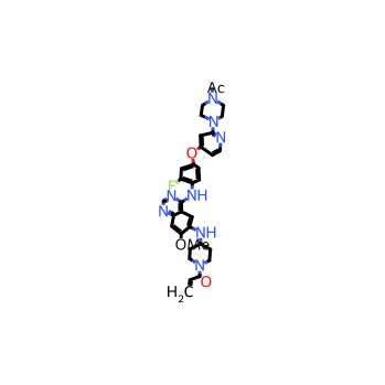 C=CC(=O)N1CCC(Nc2cc3c(Nc4ccc(Oc5ccnc(N6CCN(C(C)=O)CC6)c5)cc4F)ncnc3cc2OC)CC1